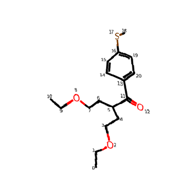 CCOCCC(CCOCC)C(=O)c1ccc(SC)cc1